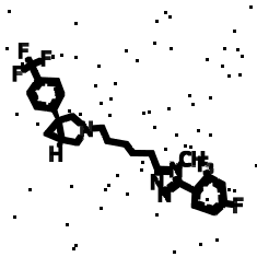 Cn1c(CCCCCN2C[C@@H]3C[C@]3(c3ccc(C(F)(F)F)cc3)C2)nnc1-c1ccc(F)cc1F